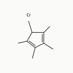 C[C]1C(C)=C(C)C(C)=C1C.[Cr]